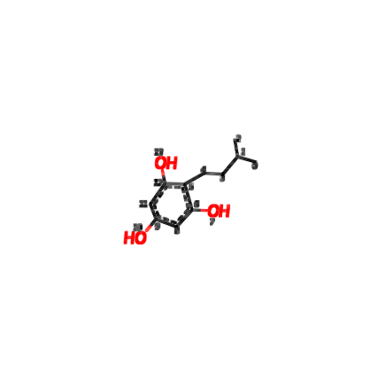 CC(C)CCc1c(O)cc(O)cc1O